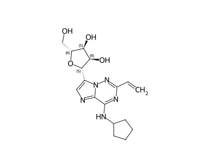 C=Cc1nc(NC2CCCC2)c2ncc([C@@H]3O[C@H](CO)[C@@H](O)[C@H]3O)n2n1